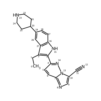 CCc1c(-c2ccc3ncc(C#N)n3n2)[nH]c2ccc(C3CCNCC3)cc12